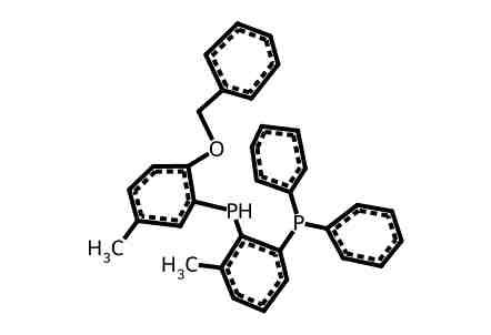 Cc1ccc(OCc2ccccc2)c(Pc2c(C)cccc2P(c2ccccc2)c2ccccc2)c1